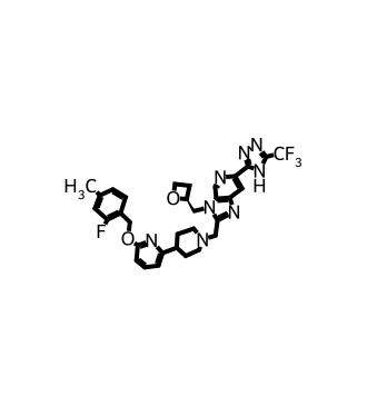 Cc1ccc(COc2cccc(C3CCN(Cc4nc5cc(-c6nnc(C(F)(F)F)[nH]6)ncc5n4C[C@@H]4CCO4)CC3)n2)c(F)c1